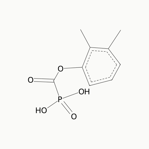 Cc1cccc(OC(=O)P(=O)(O)O)c1C